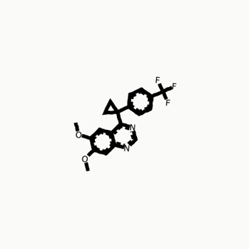 COc1cc2ncnc(C3(c4ccc(C(F)(F)F)cc4)CC3)c2cc1OC